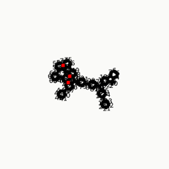 CC1(C)c2ccccc2-c2ccc(N(c3ccc(-c4ccccc4)cc3)c3ccc(-c4ccc(N(c5ccc(-c6ccccc6)cc5)c5ccc6c(c5)C5(c7ccccc7-c7ccccc7-c7ccccc75)c5ccccc5-6)cc4)cc3)cc21